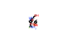 Cc1ccc(S(=O)(=O)O)cc1.NC/C(=C\F)COc1ccc2nc(NCCCO)oc2c1